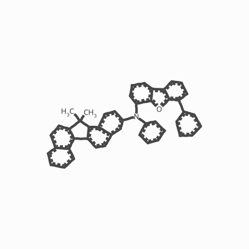 CC1(C)c2ccc3ccccc3c2-c2ccc3cc(N(c4ccccc4)c4cccc5c4oc4c(-c6ccccc6)cccc45)ccc3c21